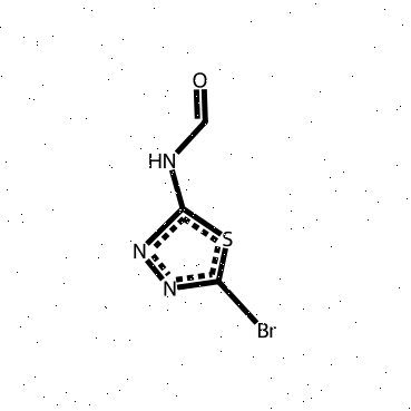 O=CNc1nnc(Br)s1